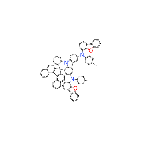 Cc1ccc(N(c2ccc3c(c2)c2cc(N(c4ccc(C)cc4)c4cccc5c4oc4ccccc45)cc4c2n3-c2ccccc2C42c3ccc4ccccc4c3-c3c2ccc2ccccc32)c2cccc3c2oc2ccccc23)cc1